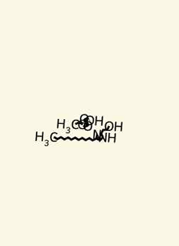 CCCCCCCCCCCCc1c[nH]c(CCO)n1.CCOS(=O)(=O)O